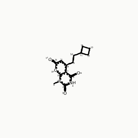 Cn1c(=O)[nH]c(=O)c2c(CCC3CCC3)cc(=O)oc21